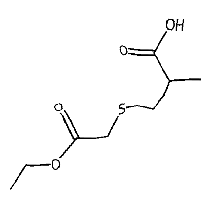 CCOC(=O)CSCC(C)C(=O)O